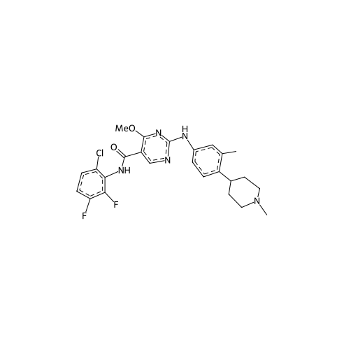 COc1nc(Nc2ccc(C3CCN(C)CC3)c(C)c2)ncc1C(=O)Nc1c(Cl)ccc(F)c1F